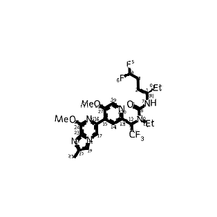 CC[C@H](CCC(F)F)NC(=O)N(CC)C(c1cc(-c2cn3cc(C)nc3c(OC)n2)c(OC)cn1)C(F)(F)F